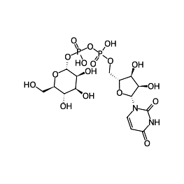 O=c1ccn([C@@H]2O[C@H](COP(=O)(O)OP(=O)(O)O[C@H]3O[C@H](CO)[C@@H](O)[C@H](O)[C@@H]3O)[C@@H](O)[C@H]2O)c(=O)[nH]1